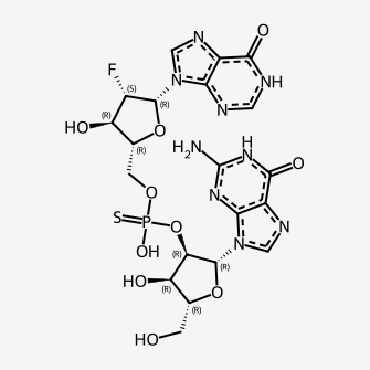 Nc1nc2c(ncn2[C@@H]2O[C@H](CO)[C@@H](O)[C@H]2OP(O)(=S)OC[C@H]2O[C@@H](n3cnc4c(=O)[nH]cnc43)[C@@H](F)[C@@H]2O)c(=O)[nH]1